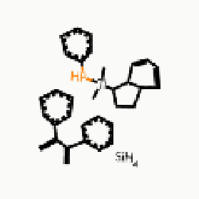 C=C(C(=C)c1ccccc1)c1ccccc1.[CH3][Ti]([CH3])([PH]c1ccccc1)[CH]1CCC2C=CC=CC21.[SiH4]